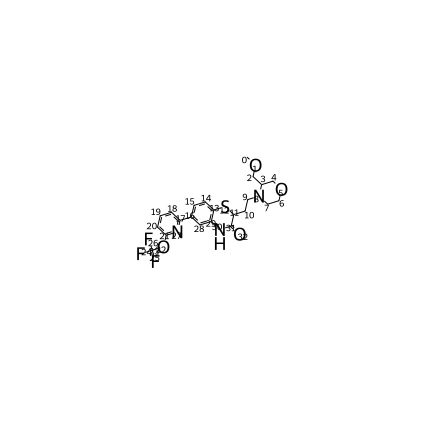 COCC1COCCN1CCC1Sc2ccc(-c3cccc(OC(F)(F)F)n3)cc2NC1=O